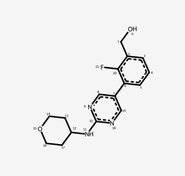 OCc1cccc(-c2cnc(NC3CCOCC3)nc2)c1F